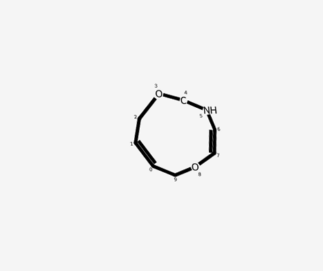 C1=C\COCN/C=C\OC/1